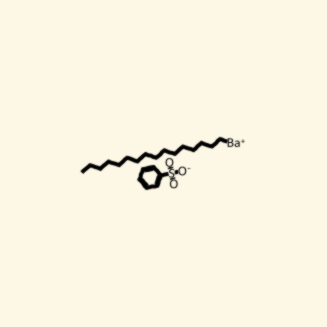 CCCCCCCCCCCCCCC[CH2][Ba+].O=S(=O)([O-])c1ccccc1